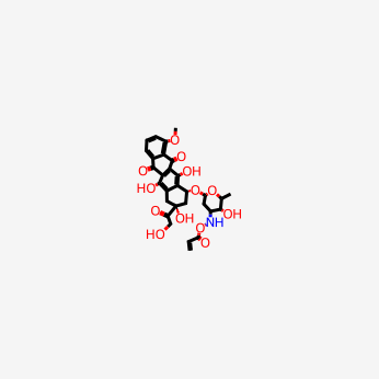 C=CC(=O)ONC1CC(O[C@H]2C[C@](O)(C(=O)CO)Cc3c(O)c4c(c(O)c32)C(=O)c2c(OC)cccc2C4=O)OC(C)C1O